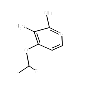 Nc1nccc(OC(F)F)c1N